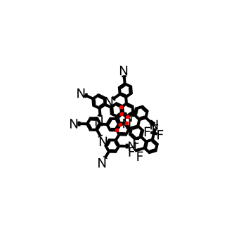 N#Cc1ccc(-c2ccc3c(c2)c2cc(-c4ccc(C#N)cc4C#N)ccc2n3-c2ccc(-c3c(C(F)(F)F)cccc3C(F)(F)F)cc2-c2c(C#N)cccc2-n2c3ccc(-c4ccc(C#N)cc4C#N)cc3c3cc(-c4ccc(C#N)cc4C#N)ccc32)c(C#N)c1